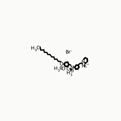 CCCCCCCCCCCCCCOc1ccc(CN(C(C)=O)c2cccc(CC3=N[C+]=C4C=CC=CN43)c2)cc1OC.[Br-]